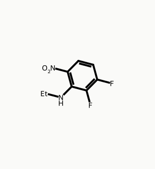 CCNc1c([N+](=O)[O-])ccc(F)c1F